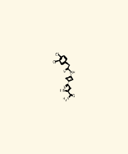 NC(=O)c1cc([C@H]2C[C@@H](NC(=O)Cc3ccc(Cl)c(Cl)c3)C2)n[nH]1